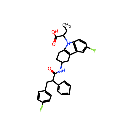 CCC(C(=O)O)n1c2c(c3cc(F)ccc31)CC(NC(=O)C(Cc1ccc(F)cc1)c1ccccc1)CC2